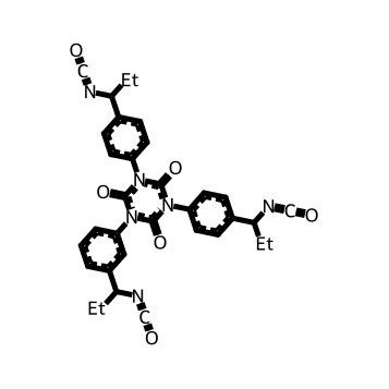 CCC(N=C=O)c1ccc(-n2c(=O)n(-c3ccc(C(CC)N=C=O)cc3)c(=O)n(-c3cccc(C(CC)N=C=O)c3)c2=O)cc1